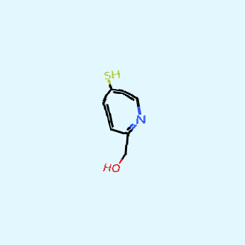 OCc1ccc(S)cn1